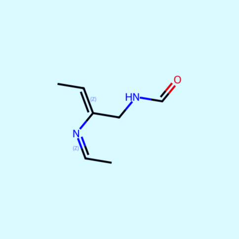 C/C=N\C(=C/C)CNC=O